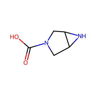 O=C(O)N1CC2NC2C1